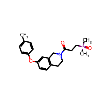 CP(C)(=O)CCC(=O)N1CCc2ccc(Oc3ccc(C(F)(F)F)cc3)cc2C1